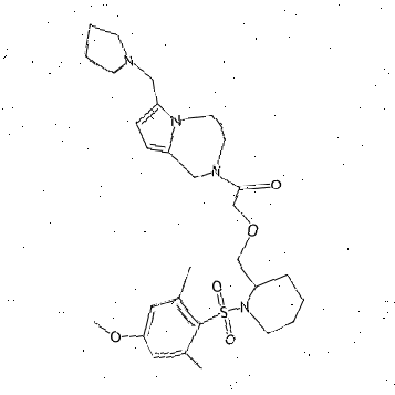 COc1cc(C)c(S(=O)(=O)N2CCCCC2COCC(=O)N2CCn3c(CN4CCCC4)ccc3C2)c(C)c1